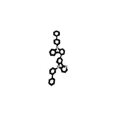 c1ccc(-c2ccc(-n3c4ccccc4c4c(-c5ccc6c(c5)c5ncccc5n6-c5cccc(-c6ccccc6)c5)cccc43)cc2)cc1